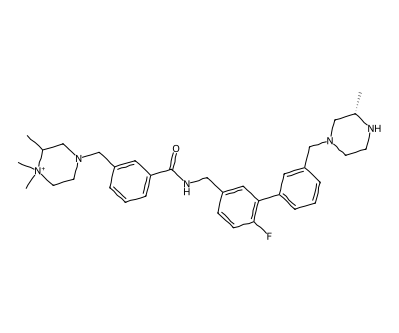 CC1CN(Cc2cccc(C(=O)NCc3ccc(F)c(-c4cccc(CN5CCN[C@@H](C)C5)c4)c3)c2)CC[N+]1(C)C